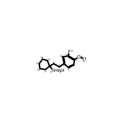 CCCCCCCC1(CCc2ccc(OCC)c(F)c2)CCCCC1